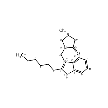 CCCCCCc1[nH]c2ccccc2[n+]1CN1CCCC1=O.[Cl-]